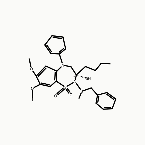 CCCC[C@]1(S)CN(c2ccccc2)c2cc(OC)c(OI)cc2S(=O)(=O)N1B(C)Cc1ccccc1